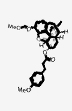 COCOc1ccc2c3c1O[C@H]1[C@@H](OC(=O)CCc4ccc(OC)cc4)C=C[C@H]4[C@@H](C2)N(C)CC[C@@]341